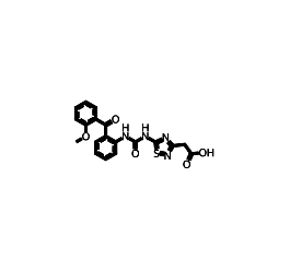 COc1ccccc1C(=O)c1ccccc1NC(=O)Nc1nc(CC(=O)O)ns1